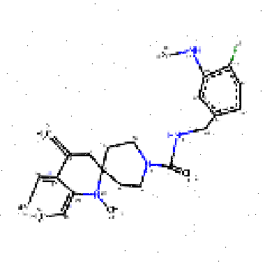 C=C1CC2(CCN(C(=C)NCc3ccc(F)c(NCCC)c3)CC2)N(C)C(=C/C)/C1=C\C(C)C